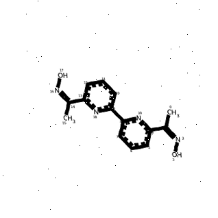 C/C(=N/O)c1cccc(-c2cccc(/C(C)=N\O)n2)n1